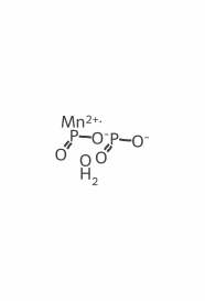 O.O=P[O-].O=P[O-].[Mn+2]